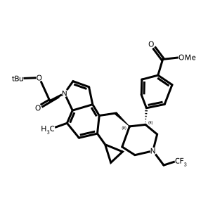 COC(=O)c1ccc([C@@H]2CN(CC(F)(F)F)CC[C@H]2Cc2c(C3CC3)cc(C)c3c2ccn3C(=O)OC(C)(C)C)cc1